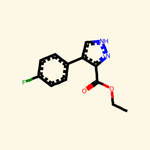 CCOC(=O)c1n[nH]cc1-c1ccc(F)cc1